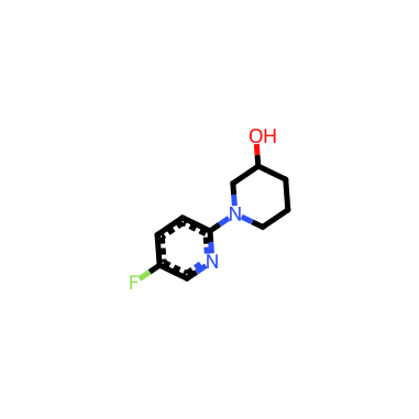 OC1CCCN(c2ccc(F)cn2)C1